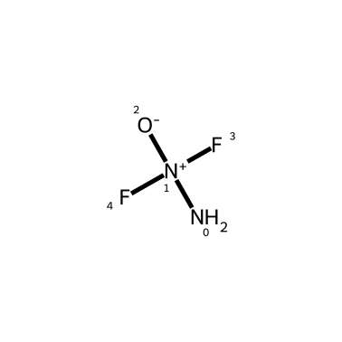 N[N+]([O-])(F)F